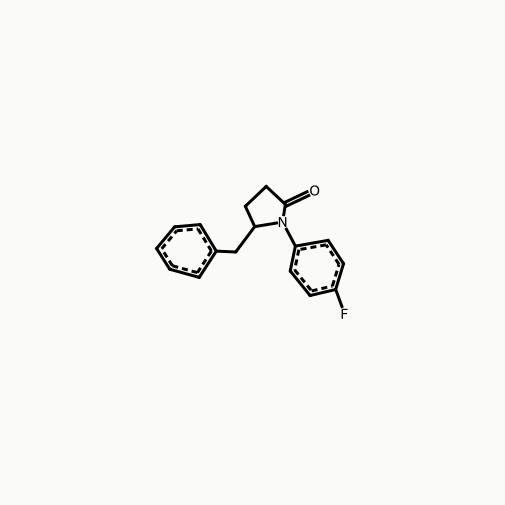 O=C1CCC(Cc2ccccc2)N1c1ccc(F)cc1